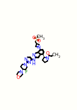 C=CC(=O)N1CCC[C@H]1c1ccc(N2CC(CS(C)(=O)=O)C2)c2cnc(Nc3ccnc(N4CC[C@@H](N5CCOCC5)[C@@H](F)C4)n3)cc12